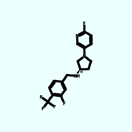 Fc1ccc(N2CC[C@H](NCc3ccc(C(F)(F)F)c(F)c3)C2)cn1